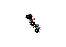 COC(=O)C12CC3CC(C1)C(NC(=O)c1cccc(NS(=O)(=O)c4ccccc4F)c1)C(C3)C2